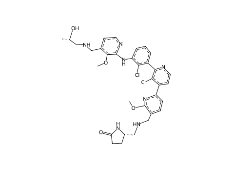 COc1nc(-c2ccnc(-c3cccc(Nc4nccc(CNC[C@H](C)O)c4OC)c3Cl)c2Cl)ccc1CNC[C@@H]1CCC(=O)N1